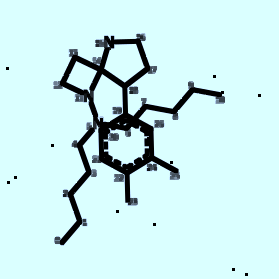 CCCCCN(CCCCC)N1CCC12[N]CCC2c1ccc(C)c(C)c1